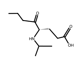 CCCC(=O)[C@H](CCC(=O)O)NC(C)C